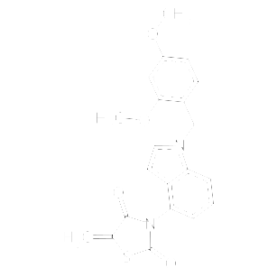 C=C1SC(=O)N(c2cccc3c2ccn3Cc2ccc(OC)cc2OC)C1=O